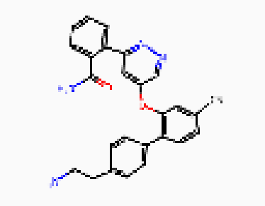 N#Cc1ccc(-c2ccc(CCN)cc2)c(Oc2cnnc(-c3ccccc3C(N)=O)c2)c1